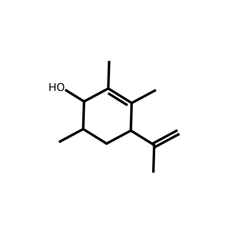 C=C(C)C1CC(C)C(O)C(C)=C1C